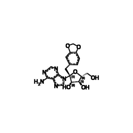 Nc1ncnc2c1ncn2[C@]1(Cc2ccc3c(c2)OCO3)O[C@H](CO)[C@@H](O)[C@H]1O